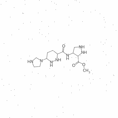 COC(=O)C1NNCC1NC(=O)C1CCC(N2CCNC2)NN1